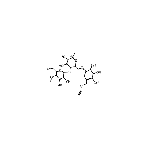 C#COCC1OC(OCC2O[C@H](C)C(O)C(O)C2OC2OC(CO)C(OC)C(O)C2O)C(O)C(O)C1O